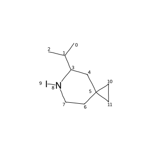 CC(C)C1CC2(CCN1I)CC2